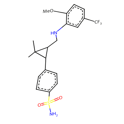 COc1ccc(C(F)(F)F)cc1NCC1C(c2ccc(S(N)(=O)=O)cc2)C1(C)C